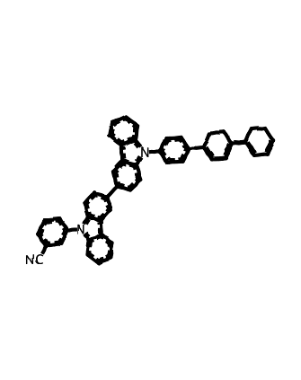 N#Cc1cccc(-n2c3ccccc3c3cc(-c4ccc5c(c4)c4ccccc4n5-c4ccc(C5=CC=C(C6=CC=CCC6)CC5)cc4)ccc32)c1